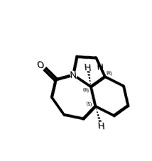 O=C1CCC[C@@H]2CCC[C@@H]3CCN1[C@H]23